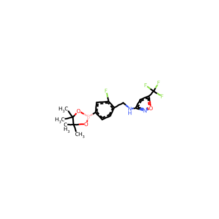 CC1(C)OB(c2ccc(CNc3cc(C(F)(F)F)on3)c(F)c2)OC1(C)C